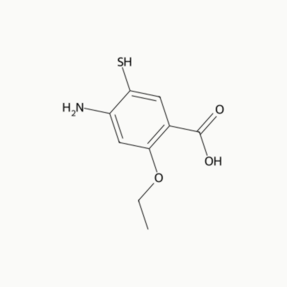 CCOc1cc(N)c(S)cc1C(=O)O